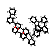 c1ccc(-c2ccc(-c3ccccc3N(c3ccc(-c4ccc(-c5cccc6c5oc5ccccc56)cc4)cc3)c3ccc(-c4cccc(-c5ccccc5-n5c6ccccc6c6ccccc65)c4)cc3)cc2)cc1